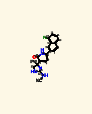 CC(C)C1(c2ccc(-c3ccc4cccc(F)c4c3)[nH]c2=O)CNC(NC#N)=N1